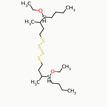 CCCC[SiH](OCC)C(C)CCSSSSCCC(C)[SiH](CCCC)OCC